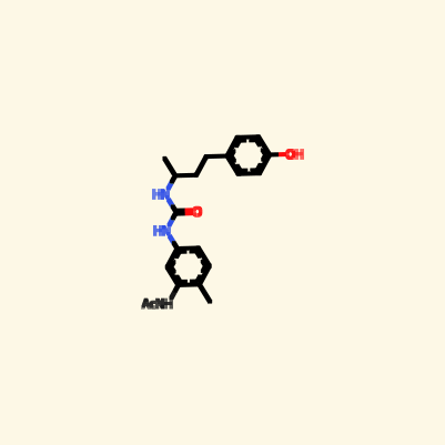 CC(=O)Nc1cc(NC(=O)NC(C)CCc2ccc(O)cc2)ccc1C